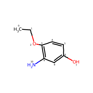 CCOc1ccc(O)cc1N